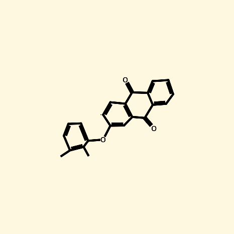 Cc1cccc(Oc2[c]cc3c(c2)C(=O)c2ccccc2C3=O)c1C